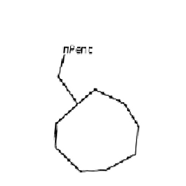 CCCCCCC1CCCCCCCC1